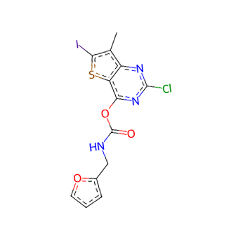 Cc1c(I)sc2c(OC(=O)NCc3ccco3)nc(Cl)nc12